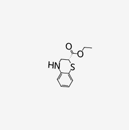 CCOC(=O)[C@H]1CNc2ccccc2S1